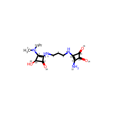 CCCN(C)C1=C(NCCCNc2c(N)c(=O)c2=O)C(=O)C1O